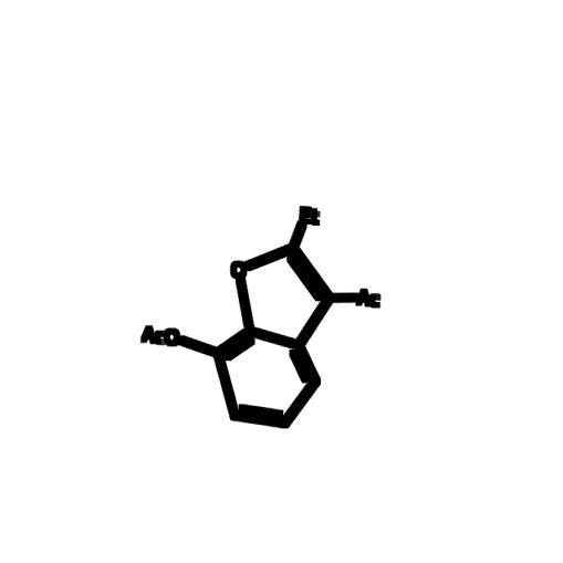 CCc1oc2c(OC(C)=O)cccc2c1C(C)=O